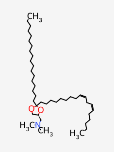 CCCCC/C=C\C/C=C\CCCCCCCCC1(CCCCCCCCCCCCCCCCCC)OC[C@H](CN(C)C)O1